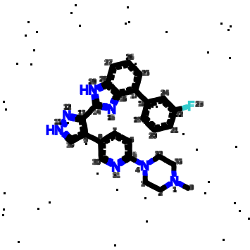 CN1CCN(c2ccc(-c3c[nH]nc3-c3nc4c(-c5cccc(F)c5)cccc4[nH]3)cn2)CC1